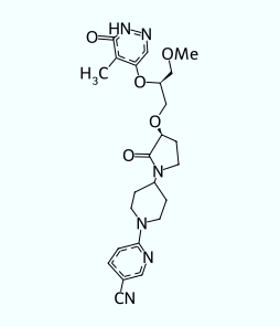 COC[C@@H](CO[C@H]1CCN(C2CCN(c3ccc(C#N)cn3)CC2)C1=O)Oc1cn[nH]c(=O)c1C